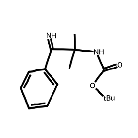 CC(C)(C)OC(=O)NC(C)(C)C(=N)c1ccccc1